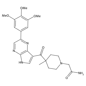 COc1cc(-c2cnc3[nH]cc(C(=O)C4(C)CCN(CC(N)=O)CC4)c3n2)cc(OC)c1OC